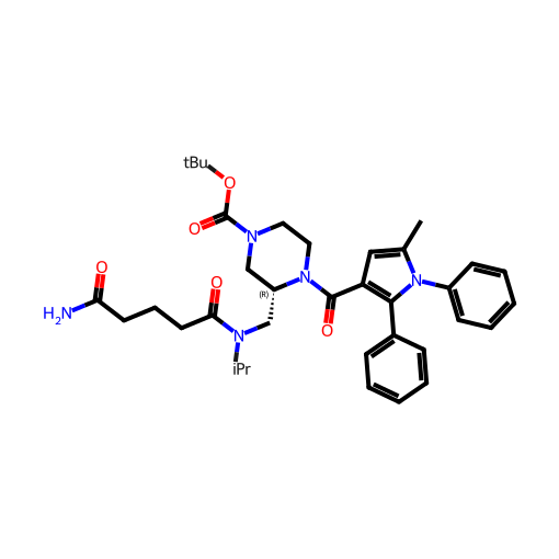 Cc1cc(C(=O)N2CCN(C(=O)OC(C)(C)C)C[C@H]2CN(C(=O)CCCC(N)=O)C(C)C)c(-c2ccccc2)n1-c1ccccc1